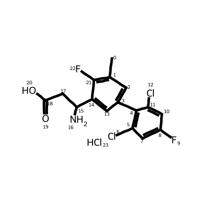 Cc1cc(-c2c(Cl)cc(F)cc2Cl)cc(C(N)CC(=O)O)c1F.Cl